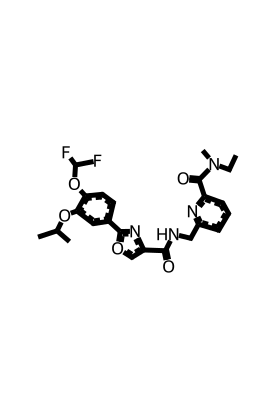 CCN(C)C(=O)c1cccc(CNC(=O)c2coc(-c3ccc(OC(F)F)c(OC(C)C)c3)n2)n1